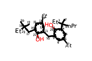 CCCC(C)(CC)c1cc(CC)cc(Cc2cc(CC)cc(CC(C)(C)CC)c2O)c1O